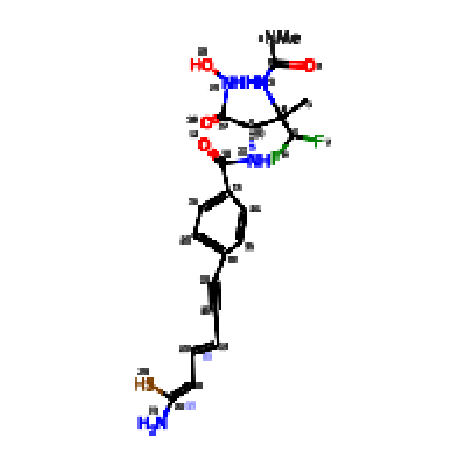 CNC(=O)NC(C)(C(F)F)[C@H](NC(=O)c1ccc(C#C/C=C/C=C(/N)S)cc1)C(=O)NO